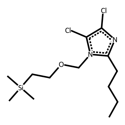 CCCCc1nc(Cl)c(Cl)n1COCC[Si](C)(C)C